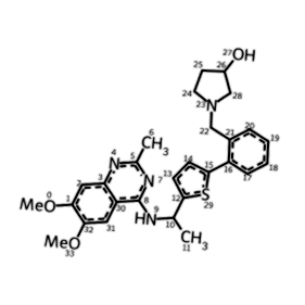 COc1cc2nc(C)nc(NC(C)c3ccc(-c4ccccc4CN4CCC(O)C4)s3)c2cc1OC